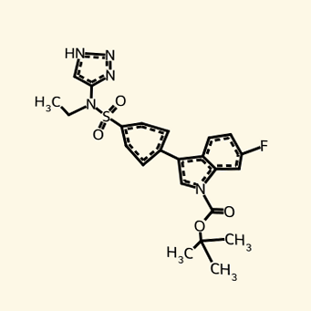 CCN(c1c[nH]nn1)S(=O)(=O)c1ccc(-c2cn(C(=O)OC(C)(C)C)c3cc(F)ccc23)cc1